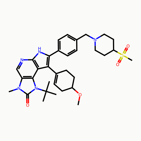 COC1CC=C(c2c(-c3ccc(CN4CCC(S(C)(=O)=O)CC4)cc3)[nH]c3ncc4c(c23)n(C(C)(C)C)c(=O)n4C)CC1